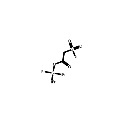 CC(C)[Si](OC(=O)CS(=O)(=O)F)(C(C)C)C(C)C